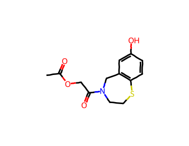 CC(=O)OCC(=O)N1CCSc2ccc(O)cc2C1